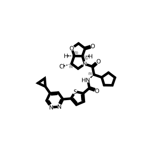 O=C(N[C@H](C(=O)N1C[C@H](Cl)[C@H]2OCC(=O)[C@H]21)C1CCCC1)c1ccc(-c2cc(C3CC3)cnn2)s1